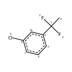 CC(F)(F)c1c[c]cc(Cl)c1